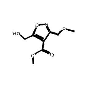 COCc1noc(CO)c1C(=O)OC